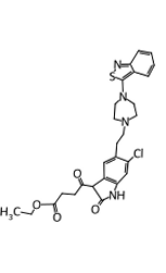 CCOC(=O)CCC(=O)C1C(=O)Nc2cc(Cl)c(CCN3CCN(c4snc5ccccc45)CC3)cc21